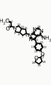 C=CC(=O)N1CC2CC(n3nc(-c4ccc(OC5CCCO5)cc4)c4c(N)ncnc43)CC2C1